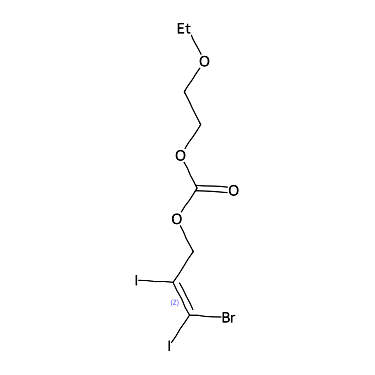 CCOCCOC(=O)OC/C(I)=C(\Br)I